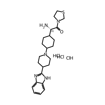 Cl.Cl.Cl.N[C@H](C(=O)N1CCSC1)C1CCC(N2CCC(c3nc4ccccc4[nH]3)CC2)CC1